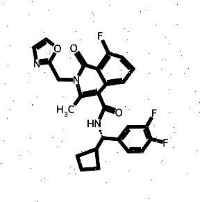 Cc1c(C(=O)N[C@H](c2ccc(F)c(F)c2)C2CCC2)c2cccc(F)c2c(=O)n1Cc1ncco1